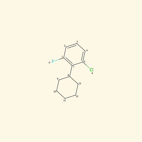 Fc1cccc(Cl)c1C1CCCCC1